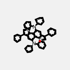 c1ccc(-c2coc3c2cc(N(c2ccccc2)c2ccccc2)c2c4occ(-c5ccccc5)c4cc(N(c4ccccc4)c4ccccc4)c32)cc1